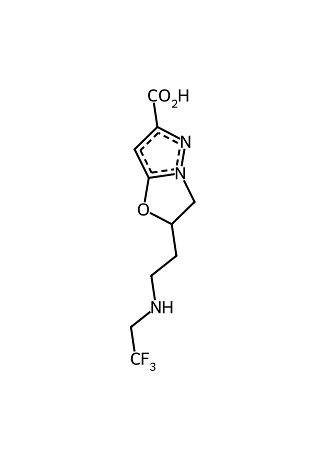 O=C(O)c1cc2n(n1)CC(CCNCC(F)(F)F)O2